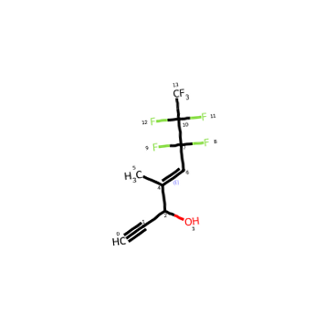 C#CC(O)/C(C)=C/C(F)(F)C(F)(F)C(F)(F)F